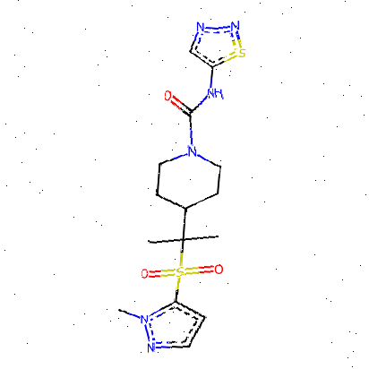 Cn1nccc1S(=O)(=O)C(C)(C)C1CCN(C(=O)Nc2cnns2)CC1